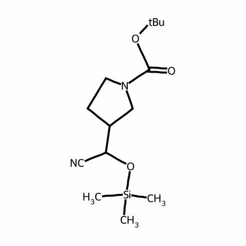 CC(C)(C)OC(=O)N1CCC(C(C#N)O[Si](C)(C)C)C1